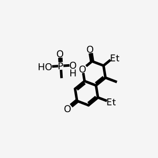 CCC1=CC(=O)C=C2OC(=O)C(CC)C(C)=C12.CP(=O)(O)O